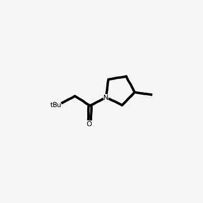 CC1CCN(C(=O)CC(C)(C)C)C1